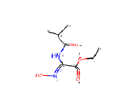 CCOC(=O)/C(=N/O)NC(=O)C(C)C